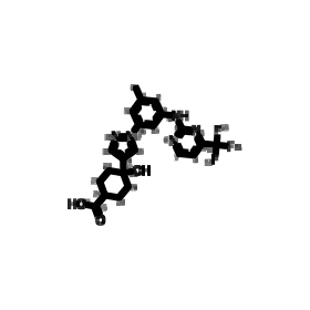 Cc1cc(Nc2nccc(C(F)(F)F)n2)cc(-n2cc(C3(O)CCC(C(=O)O)CC3)cn2)c1